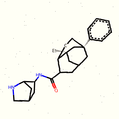 CC[C@]12CC3CC(C(=O)NC4CC5CNC4C5)C1CC[C@@](c1ccccc1)(C3)C2